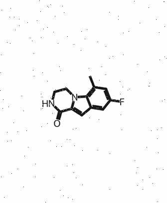 Cc1cc(F)cc2cc3n(c12)CCNC3=O